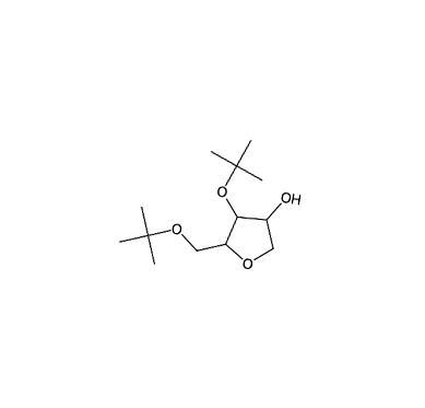 CC(C)(C)OCC1OCC(O)C1OC(C)(C)C